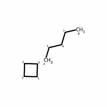 C1CCC1.CCCCC